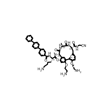 C[C@@H]1NC(=O)[C@@H](N(C)C(=O)[C@H](CCCCN)NC(=O)c2ccc(-c3ccc(-c4ccccc4)cc3)cc2)c2ccc(OCCN)c(c2)-c2cc(ccc2OCCN)C[C@@H](C(=O)NCC#N)NC1=O